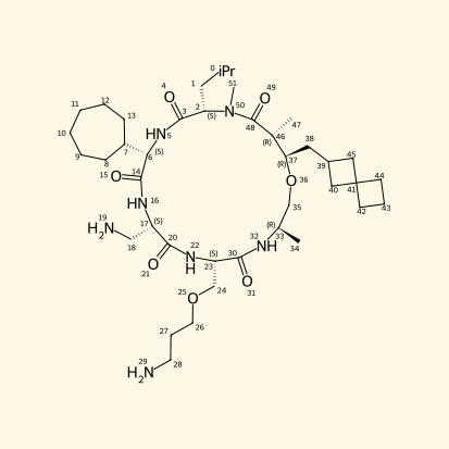 CC(C)C[C@H]1C(=O)N[C@@H](C2CCCCCC2)C(=O)N[C@@H](CN)C(=O)N[C@@H](COCCCN)C(=O)N[C@H](C)CO[C@H](CC2CC3(CCC3)C2)[C@@H](C)C(=O)N1C